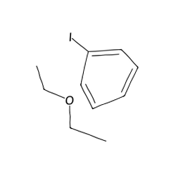 CCOCC.Ic1ccccc1